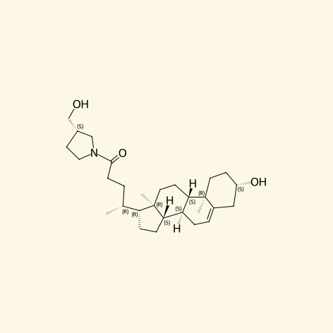 C[C@H](CCC(=O)N1CC[C@H](CO)C1)[C@H]1CC[C@H]2[C@@H]3CC=C4C[C@@H](O)CC[C@]4(C)[C@H]3CC[C@]12C